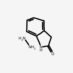 NN.O=C1Cc2ccccc2N1